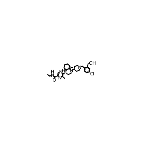 CCNC(=O)c1cnc(N2CCN(C3CCN(Cc4ccc(Cl)cc4CO)CC3)[C@H]3CCCC[C@H]32)c(C)n1